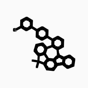 CC1(C)c2cccc3c2-c2c1ccc1c4ccccc4n(c21)-c1cccc(-c2ccc(-c4cccc(Cl)c4)cc2)c1-3